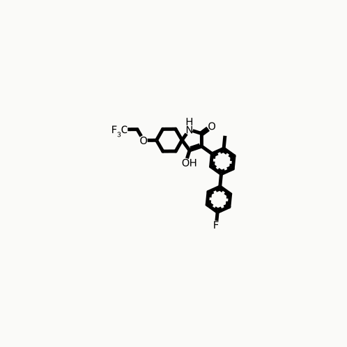 Cc1ccc(-c2ccc(F)cc2)cc1C1=C(O)C2(CCC(OCC(F)(F)F)CC2)NC1=O